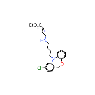 CCOC(=O)/C=C/CNCCCCN1c2cc(Cl)ccc2COc2ccccc21